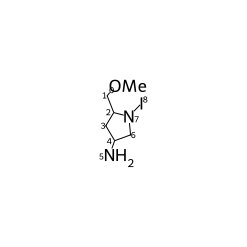 COCC1CC(N)CN1I